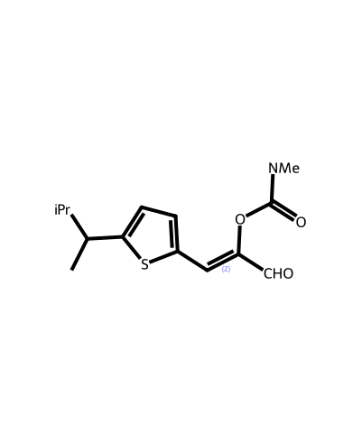 CNC(=O)O/C(C=O)=C\c1ccc(C(C)C(C)C)s1